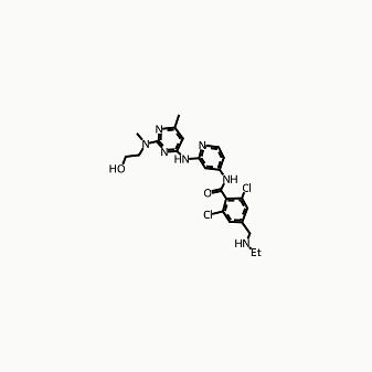 CCNCc1cc(Cl)c(C(=O)Nc2ccnc(Nc3cc(C)nc(N(C)CCO)n3)c2)c(Cl)c1